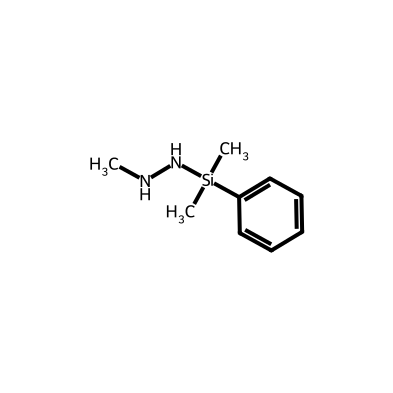 CNN[Si](C)(C)c1ccccc1